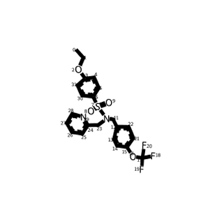 CCOc1ccc(S(=O)(=O)N(Cc2ccc(OC(F)(F)F)cc2)Cc2ccccn2)cc1